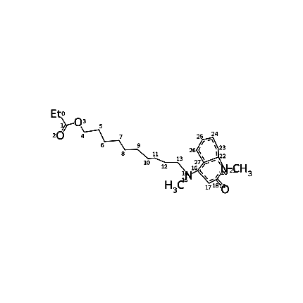 CCC(=O)OCCCCCCCCCCN(C)c1cc(=O)n(C)c2ccccc12